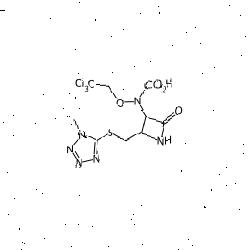 Cn1nnnc1SCC1NC(=O)C1N(OCC(Cl)(Cl)Cl)C(=O)O